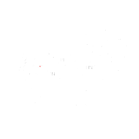 CC(C)(C)c1ccc(N2c3cc(-c4ccccc4)cc(-c4cccc5c4Nc4ccccc4C5(c4ccccc4)c4ccccc4)c3Bc3oc4ccc(C(C)(C)C)cc4c32)c(-c2ccccc2)c1